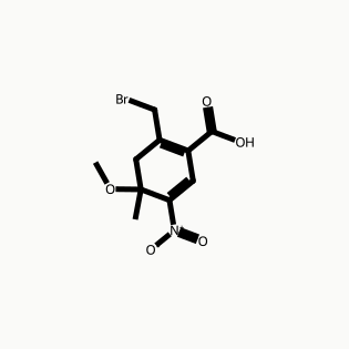 COC1(C)CC(CBr)=C(C(=O)O)C=C1[N+](=O)[O-]